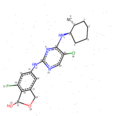 N#C[C@@H]1CCCC[C@H]1Nc1nc(Nc2cc(F)c3c(c2)COB3O)ncc1Cl